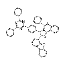 c1ccc(-c2nc(-c3ccccc3)nc(-c3ccc(-c4c(-c5cccc6c5oc5ccccc56)sc5c4c(-c4ccccc4)nc4ccccc45)cc3)n2)cc1